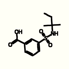 CCC(C)(C)NS(=O)(=O)c1cccc(C(=O)O)c1